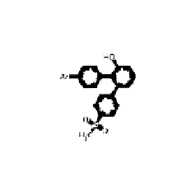 CC(=O)c1ccc(-c2c(-c3ccc(S(C)(=O)=O)cc3)[c]ccc2O)cc1